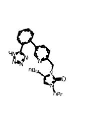 CCCCc1cn(CCC)c(=O)n1Cc1ccc(-c2ccccc2-c2nnn[nH]2)cn1